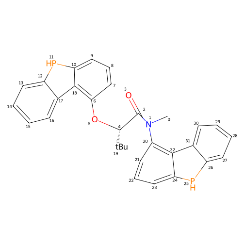 CN(C(=O)[C@@H](Oc1cccc2[pH]c3ccccc3c12)C(C)(C)C)c1cccc2[pH]c3ccccc3c12